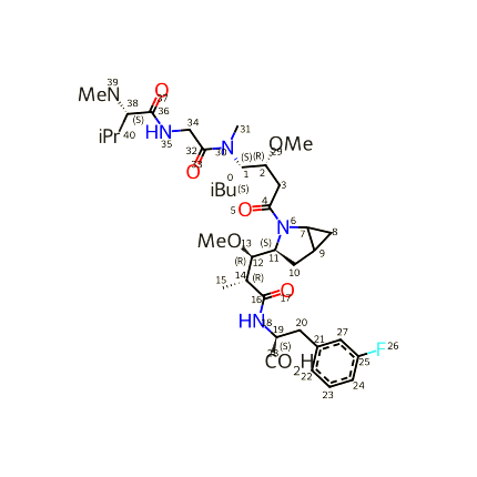 CC[C@H](C)[C@@H]([C@@H](CC(=O)N1C2CC2C[C@H]1[C@H](OC)[C@@H](C)C(=O)N[C@@H](Cc1cccc(F)c1)C(=O)O)OC)N(C)C(=O)CNC(=O)[C@@H](NC)C(C)C